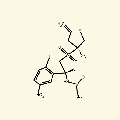 C=CC[C@@](C#N)(CF)S(=O)(=O)C[C@](C)(N[S+]([O-])C(C)(C)C)c1cc([N+](=O)[O-])ccc1F